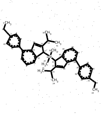 CCc1ccc(-c2cccc3c2C=C(C(C)C)C3[Si](C)(C)C2C(C(C)C)=Cc3c(-c4ccc(CC)cc4)cccc32)cc1